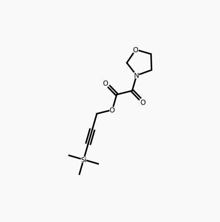 C[Si](C)(C)C#CCOC(=O)C(=O)N1CCOC1